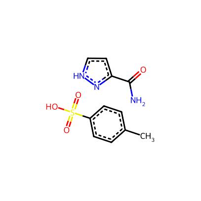 Cc1ccc(S(=O)(=O)O)cc1.NC(=O)c1cc[nH]n1